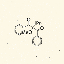 COC([C](C)C)(C(=O)c1ccccc1)C(=O)c1ccccc1